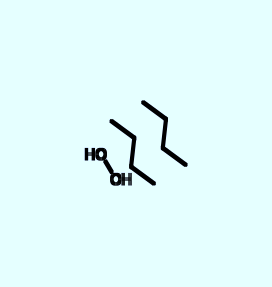 CCCC.CCCC.OO